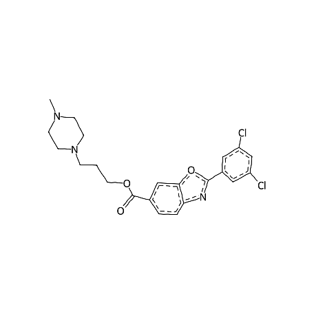 CN1CCN(CCCOC(=O)c2ccc3nc(-c4cc(Cl)cc(Cl)c4)oc3c2)CC1